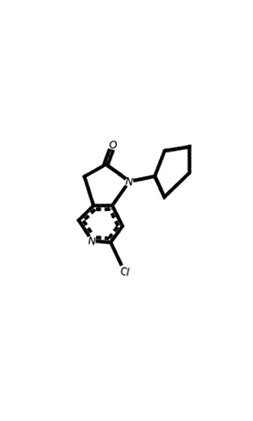 O=C1Cc2cnc(Cl)cc2N1C1CCCC1